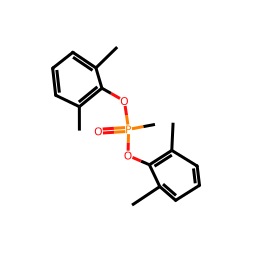 Cc1cccc(C)c1OP(C)(=O)Oc1c(C)cccc1C